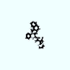 Cc1nn2cccnc2c1C(=O)N[C@@H](C)c1nc2ccc3ccccc3c2c(=O)n1-c1ccccc1